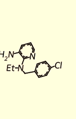 CCN(Cc1ccc(Cl)cc1)c1ncccc1N